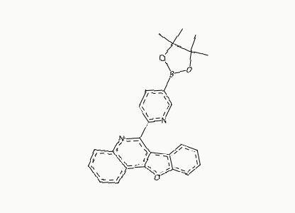 CC1(C)OB(c2ccc(-c3nc4ccccc4c4oc5ccccc5c34)nc2)OC1(C)C